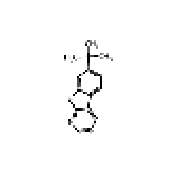 CC(C)(C)c1ccc2c(c1)sc1ncncc12